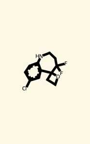 FC1(F)CCNc2ccc(Cl)cc2C12CCO2